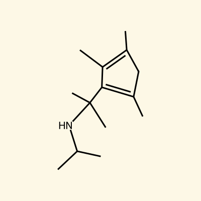 CC1=C(C)C(C(C)(C)NC(C)C)=C(C)C1